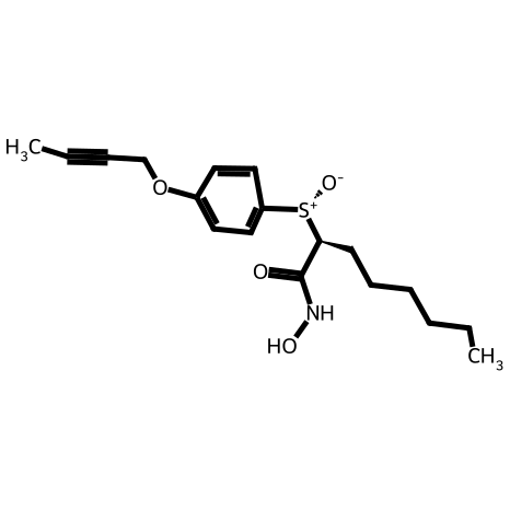 CC#CCOc1ccc([S@+]([O-])[C@@H](CCCCCC)C(=O)NO)cc1